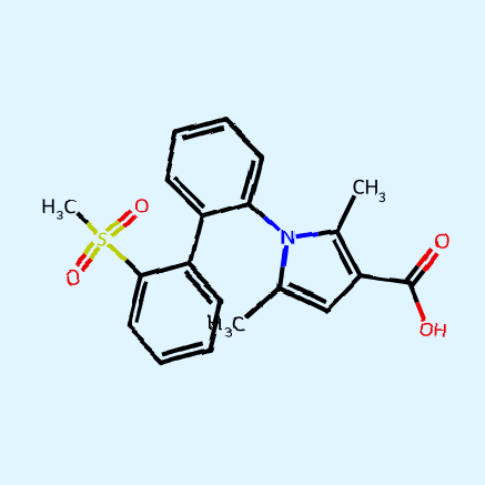 Cc1cc(C(=O)O)c(C)n1-c1ccccc1-c1ccccc1S(C)(=O)=O